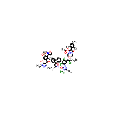 CCOC(=O)C(Cl)Cc1cc(-n2nc(C)n(C(F)F)c2=O)c(F)cc1Cl.CCOC(=O)C1=NOC(c2ccccc2)(c2ccccc2)C1.CCc1cc(C)cc(CC)c1-c1c(OC(=O)C(C)(C)C)n2n(c1=O)CCOCC2.Cc1c(C(=O)c2cnn(C)c2O)ccc(S(C)(=O)=O)c1C1=NOCC1